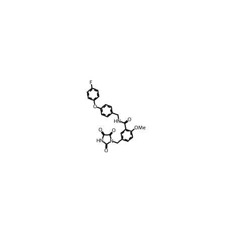 COc1ccc(CN2C(=O)NC(=O)C2=O)cc1C(=O)NCc1ccc(Oc2ccc(F)cc2)cc1